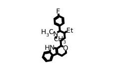 CCC(CCC1OCCc2c1[nH]c1ccccc21)C(c1ccc(F)cc1)N(C)C